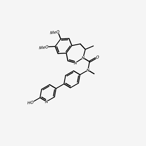 COc1cc2c(cc1OC)CC(C)N(C(=O)N(C)c1ccc(-c3ccc(O)nc3)cc1)N=C2